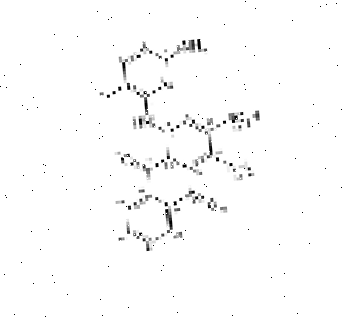 Cc1ccc(N)cc1Nc1cc(S(=O)(=O)O)c(N)c2c1C(=O)c1ccccc1C2=O